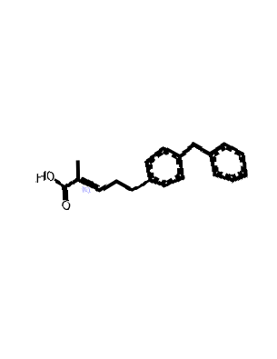 C/C(=C\CCc1ccc(Cc2ccccc2)cc1)C(=O)O